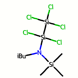 CCC(C)N([Si](C)(C)C)[Si](Cl)(Cl)[Si](Cl)(Cl)Cl